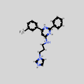 FC(F)(F)c1cccc(-c2cc(NCCCn3ccnc3)nc(-c3ccccc3)n2)c1